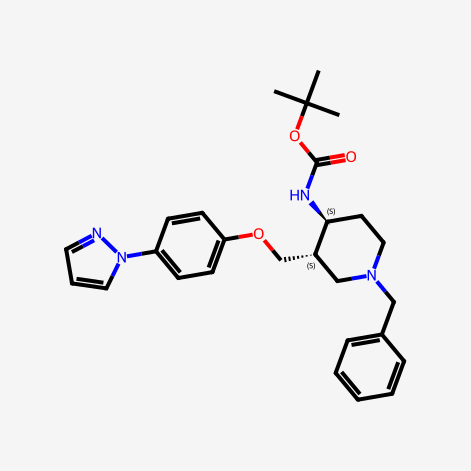 CC(C)(C)OC(=O)N[C@H]1CCN(Cc2ccccc2)C[C@@H]1COc1ccc(-n2cccn2)cc1